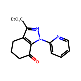 CCOC(=O)c1nn(-c2ccccn2)c2c1CCCC2=O